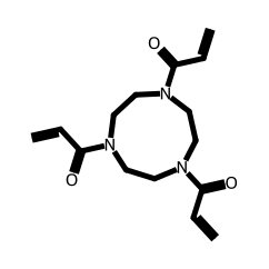 C=CC(=O)N1CCN(C(=O)C=C)CCN(C(=O)C=C)CC1